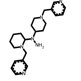 NN(C1CCN(Cc2cccnc2)CC1)C1CCCCN1Cc1cccnc1